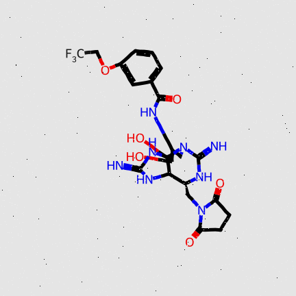 N=C1NC2[C@H](CN3C(=O)CCC3=O)NC(=N)N3CC(NC(=O)c4cccc(OCC(F)(F)F)c4)C(O)(O)C23N1